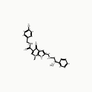 Cn1cc(C(=O)NCc2ccc(Cl)cc2)c(=O)c2cc(COC[C@@H](O)c3ccccc3)oc21